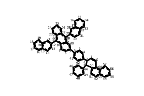 C1=CC(c2ccc(-c3ccc4c(-c5ccc6ccccc6c5)c5ccccc5c(-c5ccc6ccccc6c5)c4c3)cc2)C(c2ccccc2)c2ccc3ccccc3c21